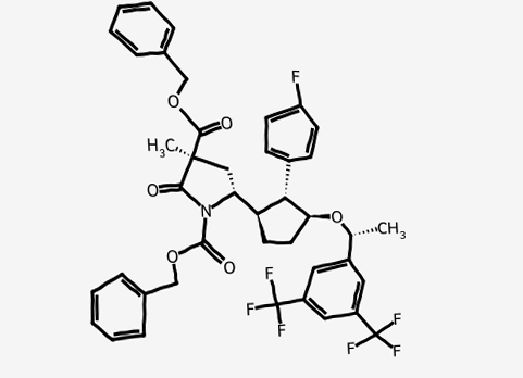 C[C@@H](O[C@H]1CC[C@@H]([C@H]2C[C@](C)(C(=O)OCc3ccccc3)C(=O)N2C(=O)OCc2ccccc2)[C@@H]1c1ccc(F)cc1)c1cc(C(F)(F)F)cc(C(F)(F)F)c1